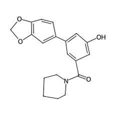 O=C(c1cc(O)cc(-c2ccc3c(c2)OCO3)c1)N1CCCCC1